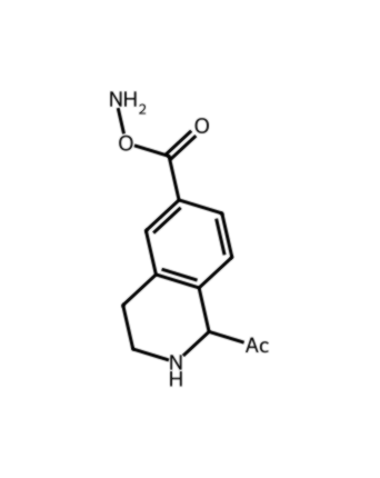 CC(=O)C1NCCc2cc(C(=O)ON)ccc21